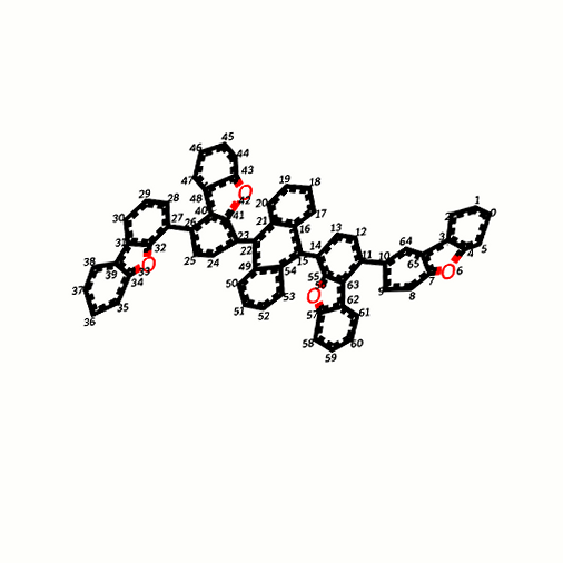 c1ccc2c(c1)oc1ccc(-c3ccc(-c4c5ccccc5c(-c5ccc(-c6cccc7c6oc6ccccc67)c6c5oc5ccccc56)c5ccccc45)c4oc5ccccc5c34)cc12